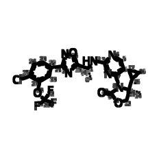 C[C@@H](Nc1nccc(N2C(=O)OC[C@]2(C)C2CC2)n1)c1nc(-c2ccc(Cl)c(OC(F)(F)F)c2)no1